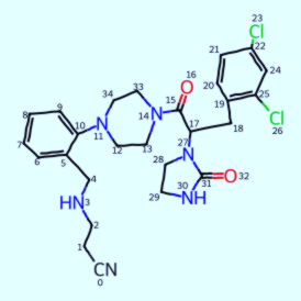 N#CCCNCc1ccccc1N1CCN(C(=O)C(Cc2ccc(Cl)cc2Cl)N2CCNC2=O)CC1